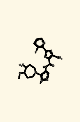 COC1CCN(c2c(NC(=O)c3nc(-c4ncccc4F)sc3N)cnn2C)CCC1N